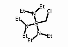 CCN(CC)[Si](CCl)(N(CC)CC)N(CC)CC